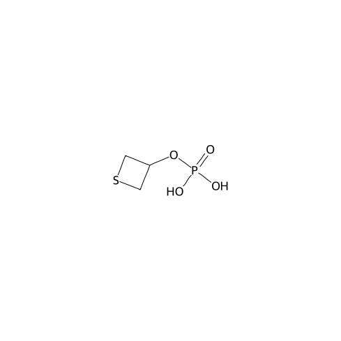 O=P(O)(O)OC1CSC1